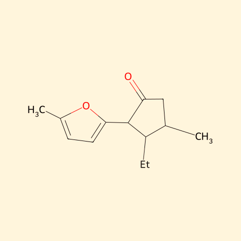 CCC1C(C)CC(=O)C1c1ccc(C)o1